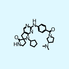 CN(C)[C@H]1CCN(C(=O)c2ccc(Nc3ncc4c(n3)N(C3CCCC3)C3(CCNC3=O)C4)cc2)C1